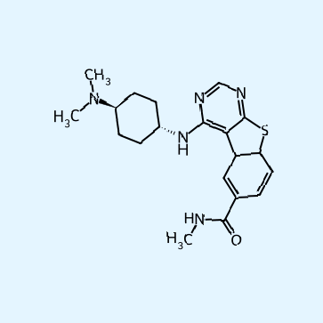 CNC(=O)C1=CC2c3c(N[C@H]4CC[C@H](N(C)C)CC4)ncnc3SC2C=C1